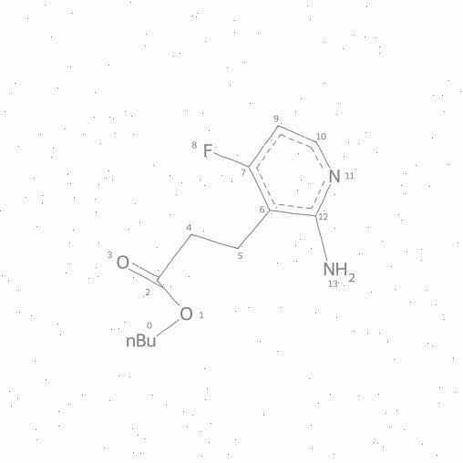 CCCCOC(=O)CCc1c(F)ccnc1N